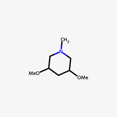 COC1CC(OC)CN(C)C1